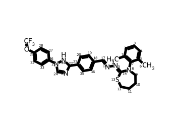 Cc1cccc(C)c1N1CCCCS/C1=N\N=C\c1ccc(C2N=CN(c3ccc(OC(F)(F)F)cc3)N2)cc1